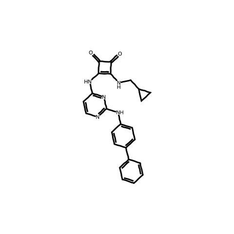 O=c1c(NCC2CC2)c(Nc2ccnc(Nc3ccc(-c4ccccc4)cc3)n2)c1=O